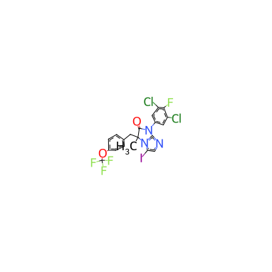 CC1(Cc2ccc(OC(F)(F)F)cc2)C(=O)N(c2cc(Cl)c(F)c(Cl)c2)c2ncc(I)n21